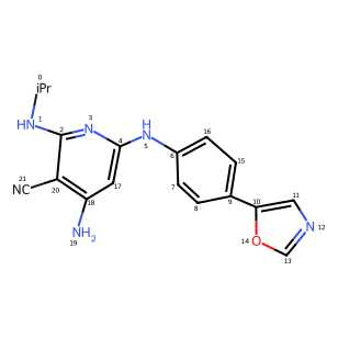 CC(C)Nc1nc(Nc2ccc(-c3cnco3)cc2)cc(N)c1C#N